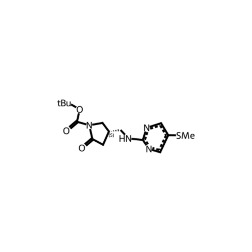 CSc1cnc(NC[C@@H]2CC(=O)N(C(=O)OC(C)(C)C)C2)nc1